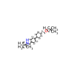 CC(C)(C)COCCC1CCC(c2ccc(CNC(C)(C)C)cc2)CC1